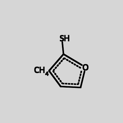 C.Sc1ccco1